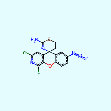 [N-]=[N+]=Nc1ccc2c(c1)C1(CCSC(N)=N1)c1cc(Cl)nc(F)c1O2